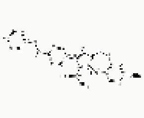 CC(C)(C)c1ccc2c(c1)CCn1nc(-c3ccc(OCc4ccccc4)cc3)c(C(N)=O)c1N2